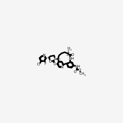 COC(=O)Nc1ccc2c(c1)NC(=O)[C@H](C)CCC[C@H](N1CC[C@@H](c3nccc(Cl)c3F)OC1=O)c1ccnc-2c1